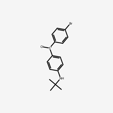 CC(C)(C)Nc1ccc([S+]([O-])c2ccc(Br)cc2)cc1